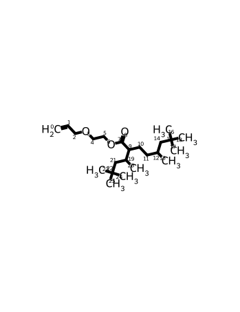 C=CCOCCOC(=O)C(CCC(C)CC(C)(C)C)C(C)CC(C)(C)C